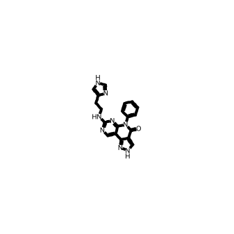 O=c1c2c[nH]nc2c2cnc(NCCc3c[nH]cn3)nc2n1-c1ccccc1